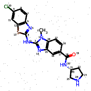 Cn1c(Nc2nc3ccc(Cl)cc3s2)nc2cc(C(=O)N[C@@H]3CCNC3)ccc21